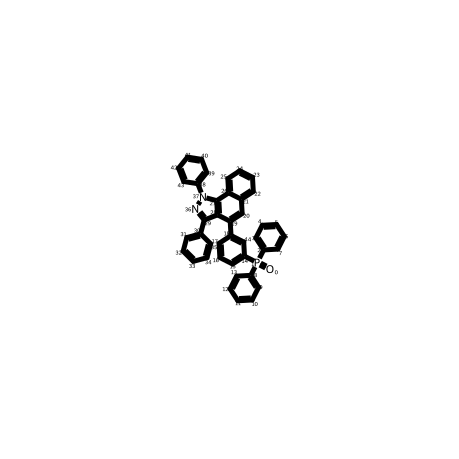 O=P(c1ccccc1)(c1ccccc1)c1cccc(-c2cc3ccccc3c3c2c(-c2ccccc2)nn3-c2ccccc2)c1